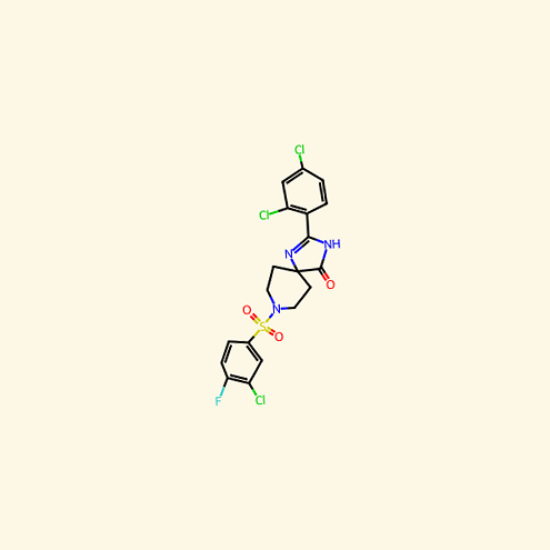 O=C1NC(c2ccc(Cl)cc2Cl)=NC12CCN(S(=O)(=O)c1ccc(F)c(Cl)c1)CC2